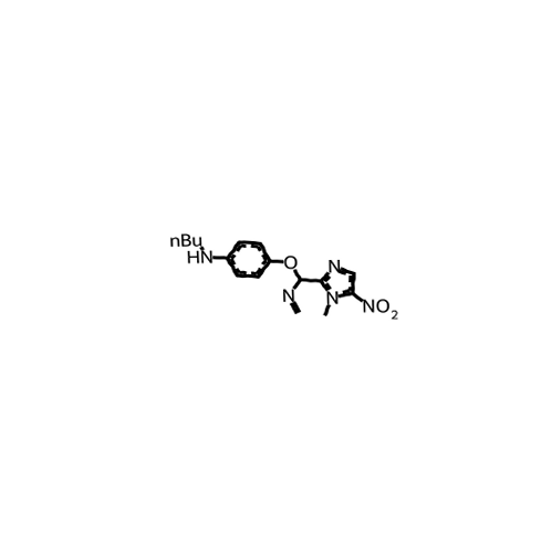 C=NC(Oc1ccc(NCCCC)cc1)c1ncc([N+](=O)[O-])n1C